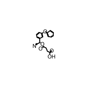 N#CC(OC(=O)CCC(=O)O)c1cccc(Oc2ccccc2)c1